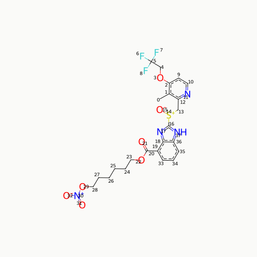 Cc1c(OCC(F)(F)F)ccnc1C[S+]([O-])c1nc2c(C(=O)OCCCCCCO[N+](=O)[O-])cccc2[nH]1